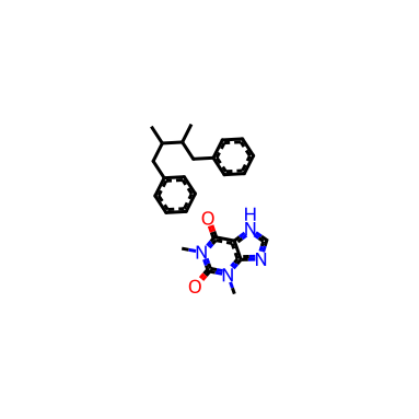 CC(Cc1ccccc1)C(C)Cc1ccccc1.Cn1c(=O)c2[nH]cnc2n(C)c1=O